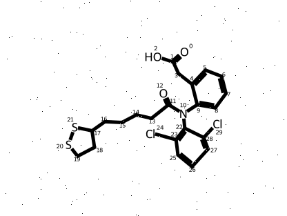 O=C(O)Cc1ccccc1N(C(=O)CCCCC1CCSS1)c1c(Cl)cccc1Cl